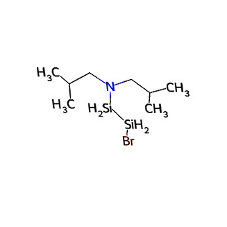 CC(C)CN(CC(C)C)[SiH2][SiH2]Br